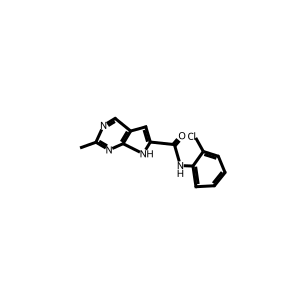 Cc1ncc2cc(C(=O)Nc3ccccc3Cl)[nH]c2n1